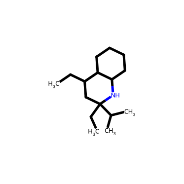 CCC1CC(CC)(C(C)C)NC2CCCCC12